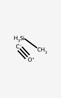 C[SiH3].[C-]#[O+]